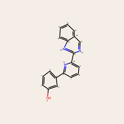 Oc1cccc(-c2cccc(-c3ncc4ccccc4n3)n2)c1